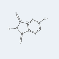 [CH2]CN1C(=O)c2ccc(Cl)cc2C1=O